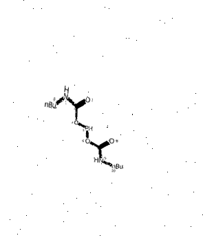 CCCCNC(=O)OPOC(=O)NCCCC